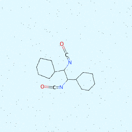 O=C=NC(C1CCCCC1)C(N=C=O)C1CCCCC1